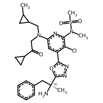 CC1CC1CN(CC(=O)C1CC1)c1cc(-c2nnc([C@@](C)(N)Cc3ccccc3)o2)c(Cl)c(N(C)S(C)(=O)=O)n1